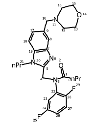 CCCC(=O)N(Cc1nc2cc(CN3CCOCC3)ccc2n1CCC)c1cc(F)ccc1F